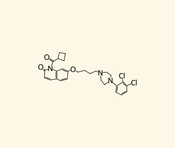 O=C(C1CCC1)n1c(=O)ccc2ccc(OCCCCN3CCN(c4cccc(Cl)c4Cl)CC3)cc21